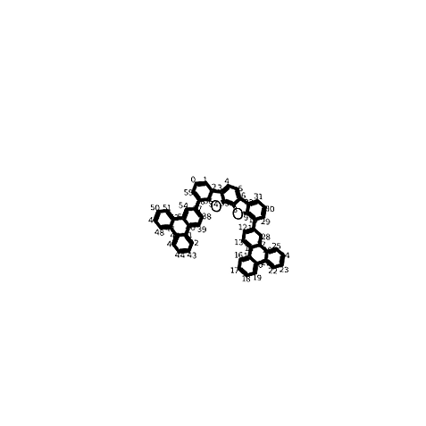 C1=CC2c3ccc4c(oc5c(C6=CC=C7c8ccccc8-c8ccccc8C7C6)cccc54)c3OC2C(c2ccc3c4ccccc4c4ccccc4c3c2)=C1